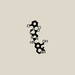 CC1(C)NCCc2cc(Nc3ncc4c(n3)SCN(c3c(Cl)cccc3Cl)C4=O)cc(CO)c21